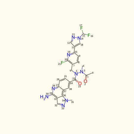 CC(=O)N(C)N(Cc1ccc(-c2cnn(C(F)F)c2)nc1F)C(=O)c1ccc2nc(N)c3cnn(C)c3c2c1